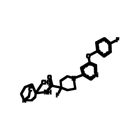 CC1(NC(=O)C2(F)CCN(c3cncc(Oc4ccc(F)cc4)c3)CC2)CCN2CCC1CC2